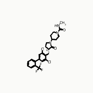 CNC(=O)N1CCC(N2CC[C@@H](Cc3c(Cl)cc(-c4ccccc4C(F)(F)F)cc3Cl)C2=O)CC1